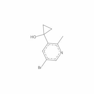 Cc1ncc(Br)cc1C1(O)CC1